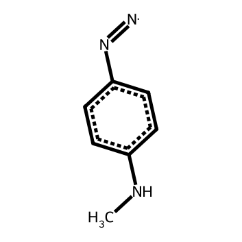 CNc1ccc(N=[N])cc1